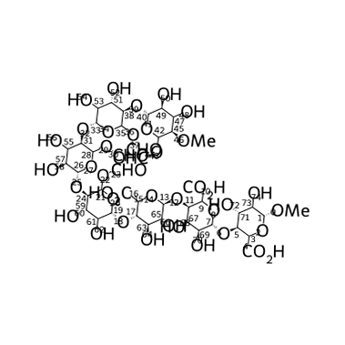 CO[C@@H]1OC(C(=O)O)[C@@H](O[C@H]2OC(C(=O)O)[C@H](O[C@@H]3OC(C(=O)O)[C@@H](O[C@H]4OC(OC=O)[C@H](O[C@H]5OC(OC=O)[C@H](O[C@H]6OC(OC=O)[C@H](O[C@H]7OC(OC=O)[C@H](OC)C(O)[C@@H]7O)[C@@H](O)C6O)C(O)[C@@H]5O)[C@@H](O)C4O)[C@H](O)C3O)C(O)[C@@H]2O)[C@H](O)C1O